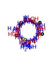 CCCC[C@H]1C(=O)N[C@@H](CCCNC(=N)N)C(=O)NC(C(=O)NCC(N)=O)CSCC(=O)N[C@@H](Cc2ccc(O)cc2)C(=O)N(C)[C@@H](C)C(=O)N[C@@H](CC(N)=O)C(=O)N2CCC[C@H]2C(=O)N[C@@H](Cc2cnc[nH]2)C(=O)N[C@@H](CC(C)C)C(=O)N2C[C@H](O)C[C@H]2C(=O)N[C@@H](Cc2c[nH]c3ccccc23)C(=O)N[C@@H](CO)C(=O)N[C@@H](Cc2csc3ccccc23)C(=O)N(C)[C@@H](C)C(=O)N1C